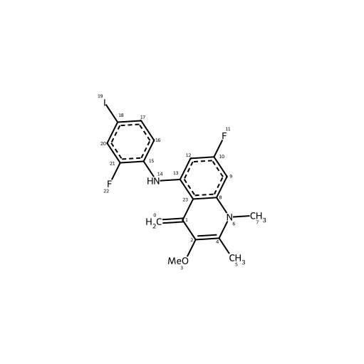 C=C1C(OC)=C(C)N(C)c2cc(F)cc(Nc3ccc(I)cc3F)c21